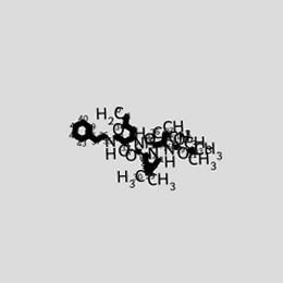 C=CCCC(NC(=O)[C@@H]1C2C(CN1C(=O)[C@@H](NC(=O)OC(C)(C)C)C(C)(C)C)C2(C)C)C(=O)C(=O)NCCC1=CCCCC1